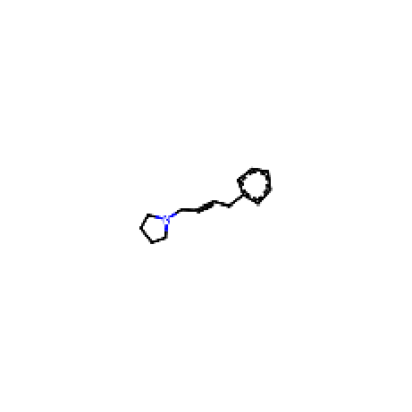 C(=CCN1CCCC1)Cc1ccccc1